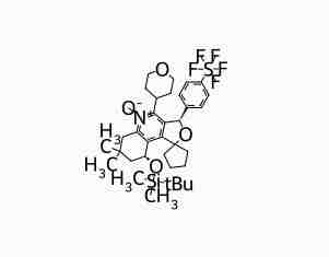 CC1(C)Cc2c(c3c(c(C4CCOCC4)[n+]2[O-])[C@@H](c2ccc(S(F)(F)(F)(F)F)cc2)OC32CCCC2)[C@@H](O[Si](C)(C)C(C)(C)C)C1